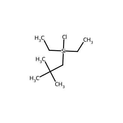 CC[Si](Cl)(CC)CC(C)(C)C